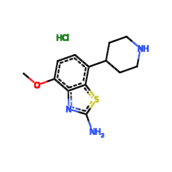 COc1ccc(C2CCNCC2)c2sc(N)nc12.Cl